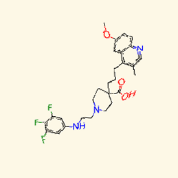 COc1ccc2ncc(C)c(CCCC3(C(=O)O)CCN(CCNc4cc(F)c(F)c(F)c4)CC3)c2c1